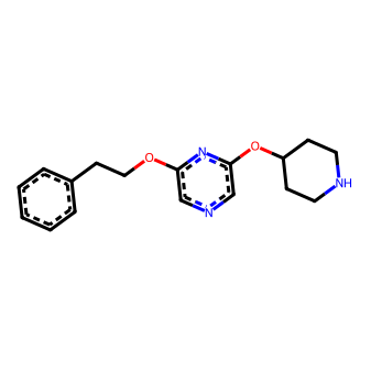 c1ccc(CCOc2cncc(OC3CCNCC3)n2)cc1